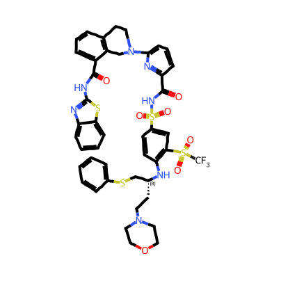 O=C(NS(=O)(=O)c1ccc(N[C@H](CCN2CCOCC2)CSc2ccccc2)c(S(=O)(=O)C(F)(F)F)c1)c1cccc(N2CCc3cccc(C(=O)Nc4nc5ccccc5s4)c3C2)n1